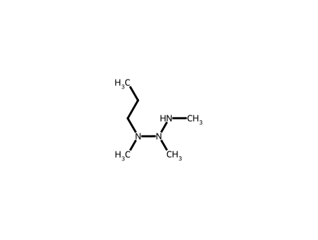 CCCN(C)N(C)NC